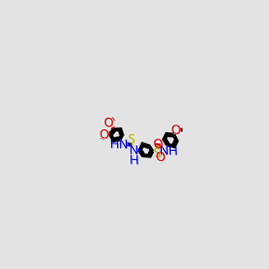 COc1ccc(NS(=O)(=O)c2ccc(NC(=S)Nc3ccc(OC)c(OC)c3)cc2)cc1